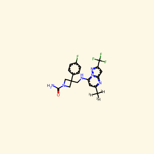 [2H]C([2H])([2H])c1cc(NCC2(c3ccc(F)cc3)CN(C(N)=O)C2)n2nc(C(F)(F)F)cc2n1